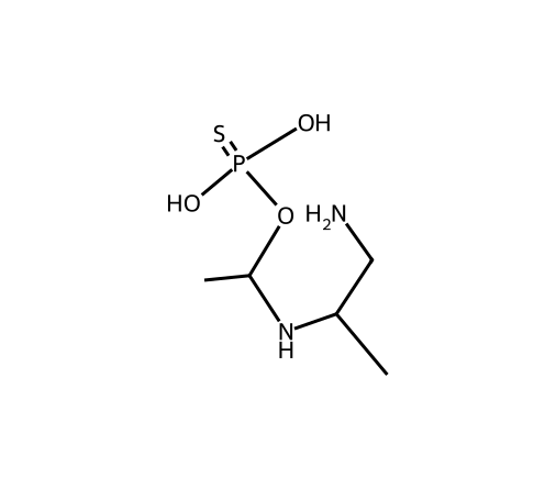 CC(CN)NC(C)OP(O)(O)=S